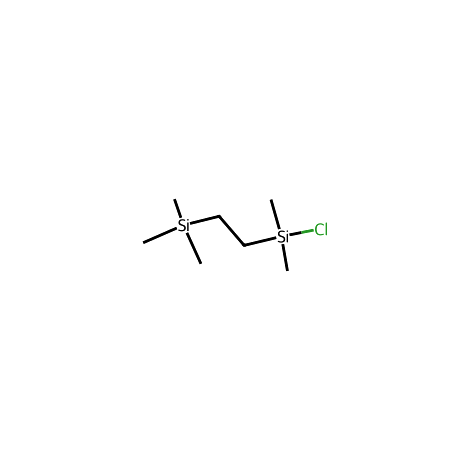 C[Si](C)(C)CC[Si](C)(C)Cl